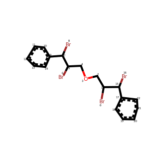 BrC(COCC(Br)C(Br)c1ccccc1)C(Br)c1ccccc1